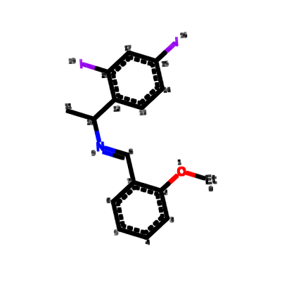 CCOc1ccccc1C=NC(C)c1ccc(I)cc1I